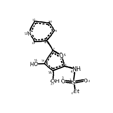 CCS(=O)(=O)Nc1oc(-c2cccnc2)c(O)c1O